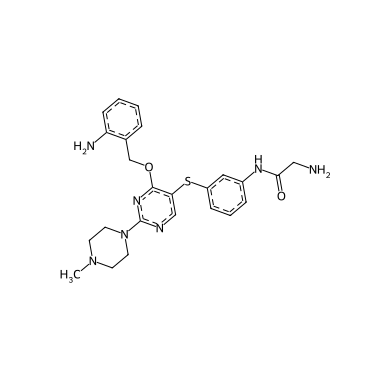 CN1CCN(c2ncc(Sc3cccc(NC(=O)CN)c3)c(OCc3ccccc3N)n2)CC1